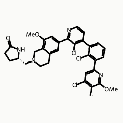 [CH2]c1c(Cl)cc(-c2cccc(-c3ccnc(-c4cc5c(c(OC)c4)CN(C[C@@H]4CCC(=O)N4)CC5)c3Cl)c2Cl)nc1OC